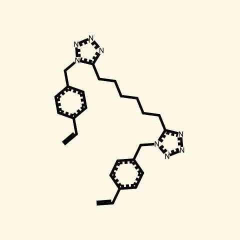 C=Cc1ccc(Cn2nnnc2CCCCCCc2nnnn2Cc2ccc(C=C)cc2)cc1